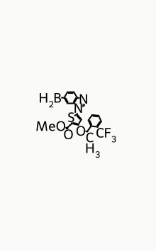 Bc1ccc2ncn(-c3cc(O[C@H](C)c4ccccc4C(F)(F)F)c(C(=O)OC)s3)c2c1